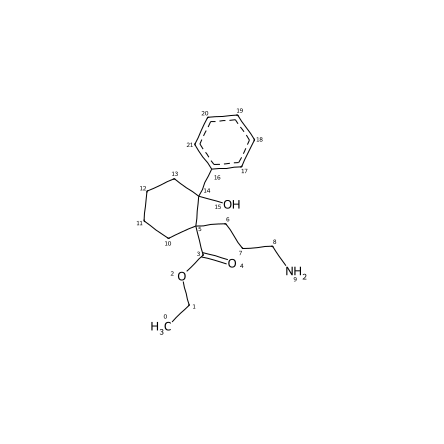 CCOC(=O)C1(CCCN)CCCCC1(O)c1ccccc1